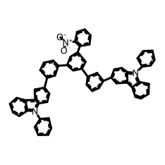 O=[N+]([O-])c1ccccc1-c1cc(-c2cccc(-c3ccc4c(c3)c3ccccc3n4-c3ccccc3)c2)cc(-c2cccc(-c3ccc4c(c3)c3ccccc3n4-c3ccccc3)c2)c1